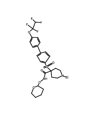 CCN1CCC(C(=O)NOC2CCCCO2)(S(=O)(=O)c2ccc(-c3ccc(OC(F)(F)C(F)F)cc3)cc2)CC1